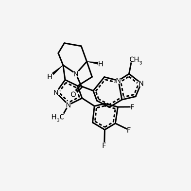 Cc1ncc2ccc(C(=O)N3[C@@H]4CCC[C@H]3c3nn(C)c(-c5cc(F)c(F)c(F)c5)c3C4)cn12